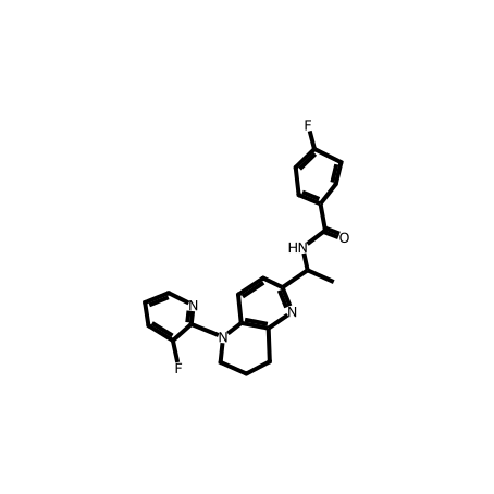 CC(NC(=O)c1ccc(F)cc1)c1ccc2c(n1)CCCN2c1ncccc1F